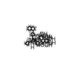 CN1C(c2ccc(-c3cccc4ccccc34)cc2)=NC(c2cccc(-c3c(O)c4c(O)c(O)c(O)c(O)c4c4c(O)c(O)c(O)c(O)c34)c2)NC1c1ccccc1